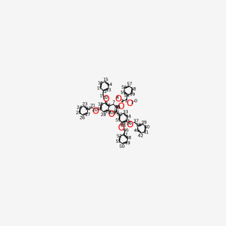 COC(C(=O)O[C@@H]1Cc2c(OCc3ccccc3)cc(OCc3ccccc3)cc2O[C@@H]1c1ccc(OCc2ccccc2)c(OCc2ccccc2)c1)c1ccccc1